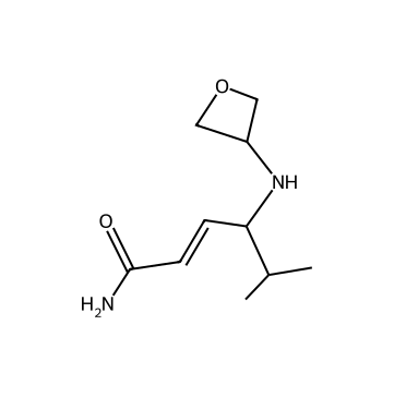 CC(C)C(C=CC(N)=O)NC1COC1